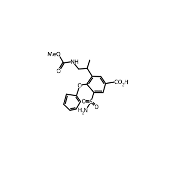 COC(=O)NCC(C)c1cc(C(=O)O)cc(S(N)(=O)=O)c1Oc1ccccc1